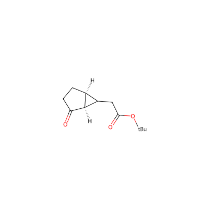 CC(C)(C)OC(=O)CC1[C@H]2C(=O)CC[C@@H]12